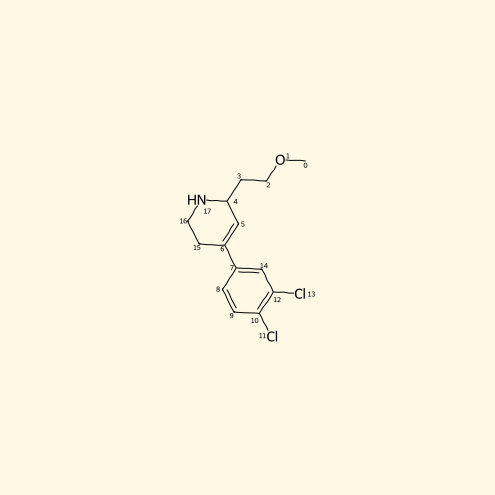 COCCC1C=C(c2ccc(Cl)c(Cl)c2)CCN1